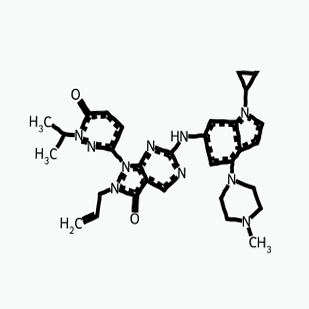 C=CCn1c(=O)c2cnc(Nc3cc(N4CCN(C)CC4)c4ccn(C5CC5)c4c3)nc2n1-c1ccc(=O)n(C(C)C)n1